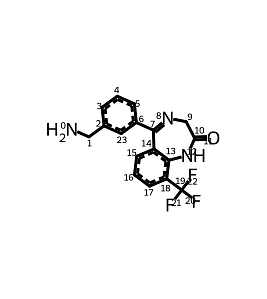 NCc1cccc(C2=NCC(=O)Nc3c2cccc3C(F)(F)F)c1